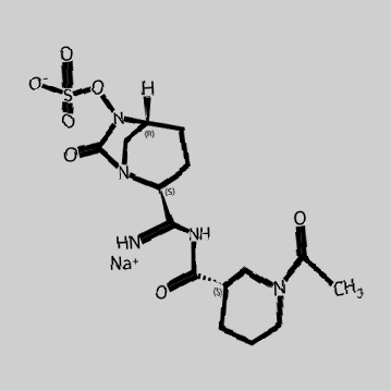 CC(=O)N1CCC[C@H](C(=O)NC(=N)[C@@H]2CC[C@@H]3CN2C(=O)N3OS(=O)(=O)[O-])C1.[Na+]